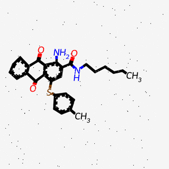 CCCCCCNC(=O)c1cc(Sc2ccc(C)cc2)c2c(c1N)C(=O)c1ccccc1C2=O